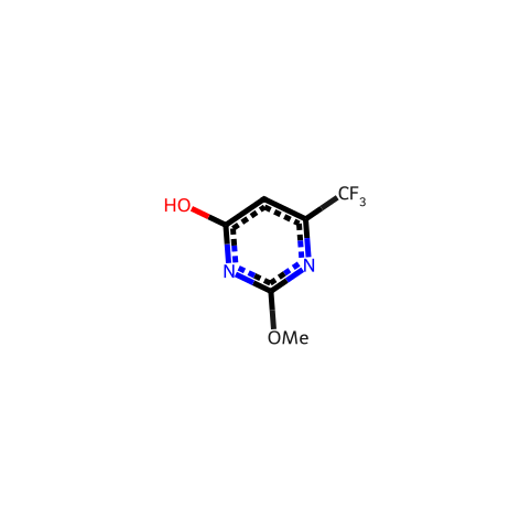 COc1nc(O)cc(C(F)(F)F)n1